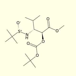 COC(=O)[C@@H](OC(=O)OC(C)(C)C)[C@H](N[S@@+]([O-])C(C)(C)C)C(C)C